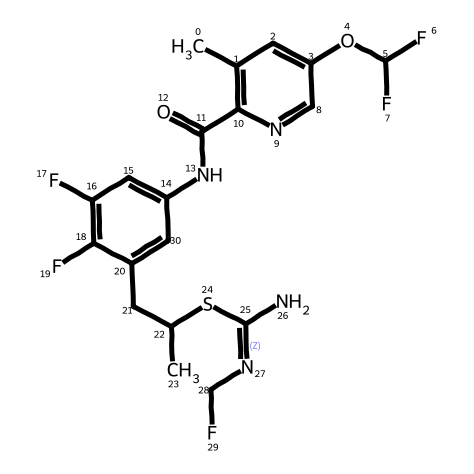 Cc1cc(OC(F)F)cnc1C(=O)Nc1cc(F)c(F)c(CC(C)S/C(N)=N\CF)c1